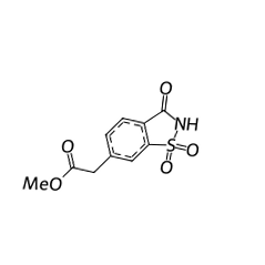 COC(=O)Cc1ccc2c(c1)S(=O)(=O)NC2=O